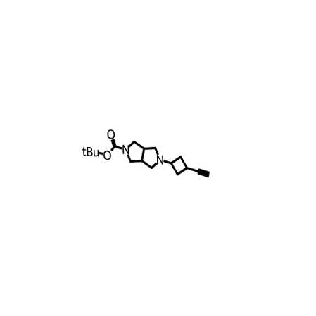 C#CC1CC(N2CC3CN(C(=O)OC(C)(C)C)CC3C2)C1